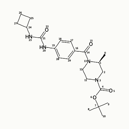 C[C@H]1CN(C(=O)OC(C)(C)C)CCN1C(=O)c1ccc(NC(=O)NC2CCC2)cc1